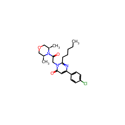 CCCCCc1nc(-c2ccc(Cl)cc2)cc(=O)n1CC(=O)N1[C@H](C)COC[C@@H]1C